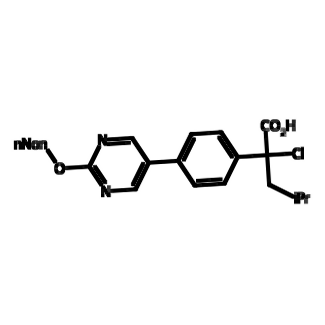 CCCCCCCCCOc1ncc(-c2ccc(C(Cl)(CC(C)C)C(=O)O)cc2)cn1